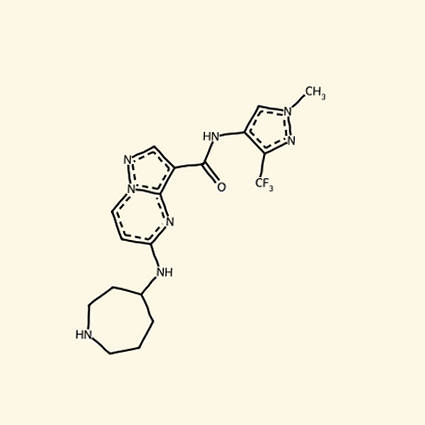 Cn1cc(NC(=O)c2cnn3ccc(NC4CCCNCC4)nc23)c(C(F)(F)F)n1